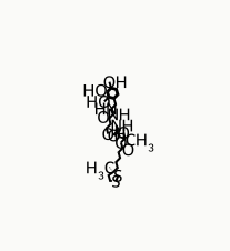 CC(OC(=O)CCCC[C@]1(C)CCSS1)OC(=O)NC(CO)C(=O)NNCc1ccc(O)c(O)c1O